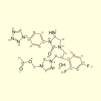 Br.CC(=O)OCN1C=NN(C[C@](O)(c2ccc(F)cc2F)[C@@H](C)N2CCN(c3ccc(-n4cnnn4)cc3)C2=O)C1